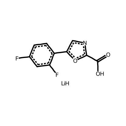 O=C(O)c1ncc(-c2ccc(F)cc2F)o1.[LiH]